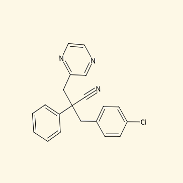 N#CC(Cc1ccc(Cl)cc1)(Cc1cnccn1)c1ccccc1